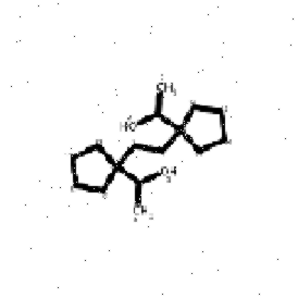 CC(O)C1(CCC2(C(C)O)CCCC2)CCCC1